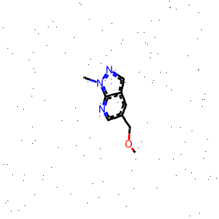 COCc1cnc2c(cnn2C)c1